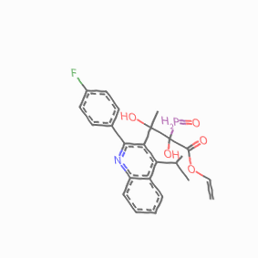 C=COC(=O)C(O)([PH2]=O)C(C)(O)c1c(-c2ccc(F)cc2)nc2ccccc2c1C(C)C